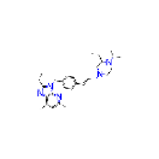 CCc1nc2c(C)cc(C)nc2n1Cc1ccc(/C=C/CN2CCN(C(C)C)C(CC)C2)cc1